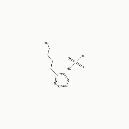 O=S(=O)(O)O.OCCSCc1ccncn1